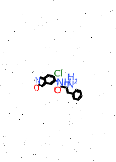 N[C@@H](Cc1ccccc1)C(=O)Nc1cc2c(cc1Cl)=C[N]C(=O)C=2